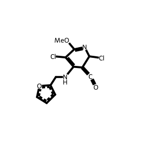 COC1=NC(Cl)C(=C=O)C(NCc2ccco2)=C1Cl